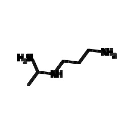 CC([SiH3])NCCCN